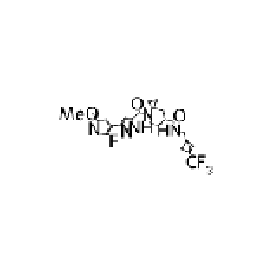 COc1cc(-c2cc(C(=O)N3CC[C@H](C(=O)NCC45CC(C(F)(F)F)(C4)C5)CC34CC4)[nH]n2)c(F)cn1